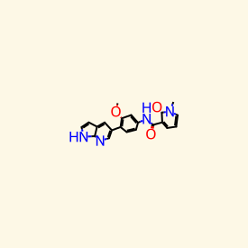 COc1cc(NC(=O)c2cccn(C)c2=O)ccc1-c1cnc2[nH]ccc2c1